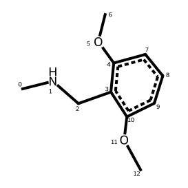 CNCc1c(OC)cccc1OC